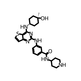 C[C@]1(O)CC[C@H](Nc2nc(Nc3cccc(C(=O)NC4CCNCC4)c3)nc3ccsc23)CC1